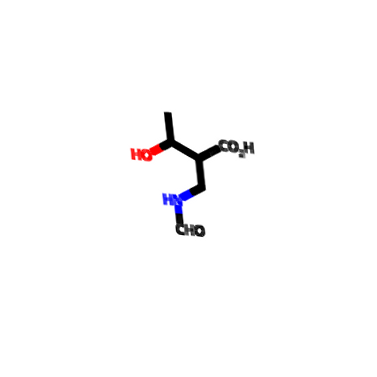 CC(O)C(CNC=O)C(=O)O